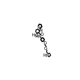 O=C(Nc1ccc(OCCOCCC2CCCN2)cc1)C1=C(O)CCc2c1nc1ccccn21